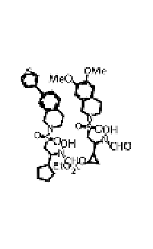 CCOC(=O)C1CC1C(CS(=O)(=O)N1CCc2cc(OC)c(OC)cc2C1)N(O)C=O.O=CN(O)C(CS(=O)(=O)N1CCc2ccc(-c3ccsc3)cc2C1)C1CCCC1